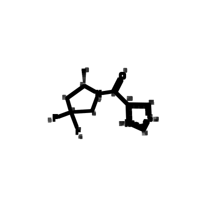 C[C@H]1CC(F)(F)CN1C(=O)c1cscn1